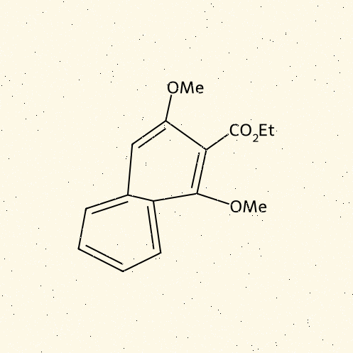 CCOC(=O)c1c(OC)cc2ccccc2c1OC